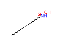 CCCCCCCCC=CCCCCCCCCCCCC(=O)NCCO